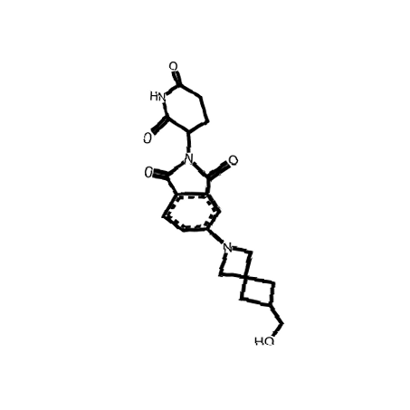 O=C1CCC(N2C(=O)c3ccc(N4CC5(CC(CO)C5)C4)cc3C2=O)C(=O)N1